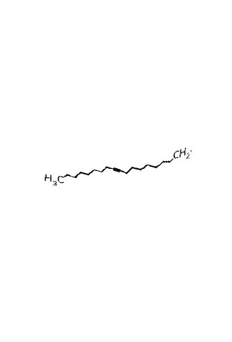 [CH2]CCCCCCCC#CCCCCCCCC